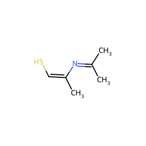 CC(C)=N/C(C)=C\S